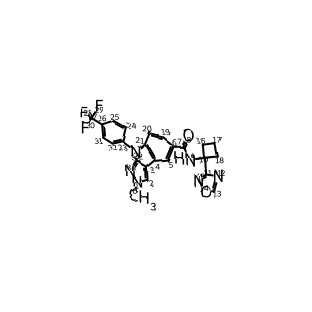 Cn1cc2c3cc(C(=O)NC4(c5ncon5)CCC4)ccc3n(-c3ccc(C(F)(F)F)cc3)c2n1